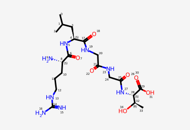 CC(C)C[C@H](NC(=O)[C@@H](N)CCCNC(=N)N)C(=O)NCC(=O)NCC(=O)N[C@H](C(=O)O)[C@@H](C)O